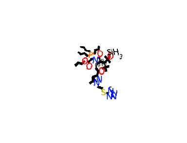 C=CCOC(=O)C(N1C(=O)[C@@H]([C@H](C(C)(C)C)C(C)(C)O[SiH3])[C@H]1CC(=O)c1cc(C)n(CCSc2nnnn2C)n1)=P(CCCC)(CCCC)CCCC